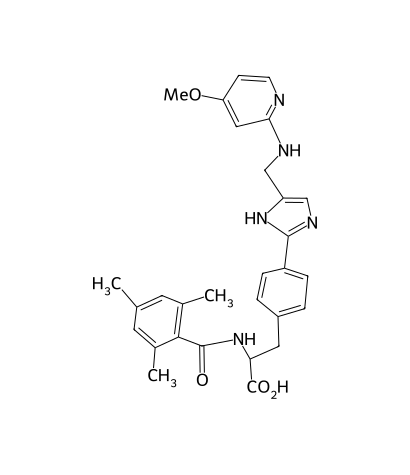 COc1ccnc(NCc2cnc(-c3ccc(CC(NC(=O)c4c(C)cc(C)cc4C)C(=O)O)cc3)[nH]2)c1